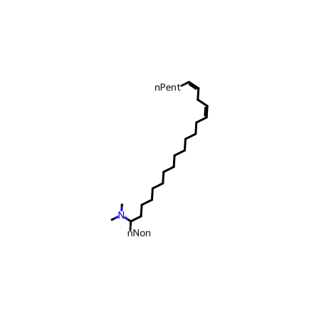 CCCCC/C=C\C/C=C\CCCCCCCCCCCCC(CCCCCCCCC)N(C)C